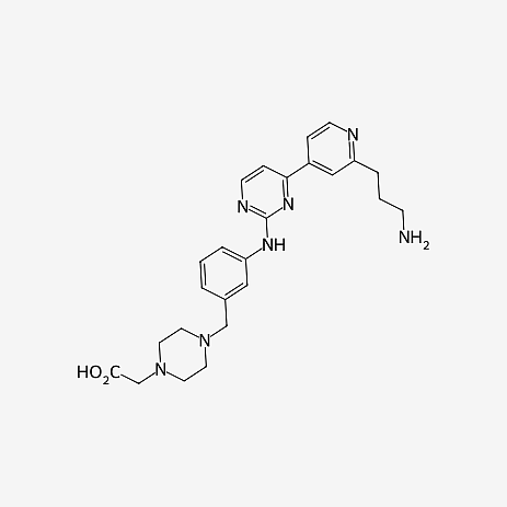 NCCCc1cc(-c2ccnc(Nc3cccc(CN4CCN(CC(=O)O)CC4)c3)n2)ccn1